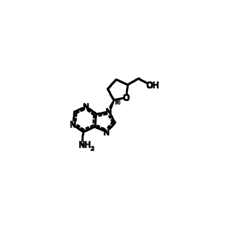 Nc1ncnc2c1ncn2[C@H]1CCC(CO)O1